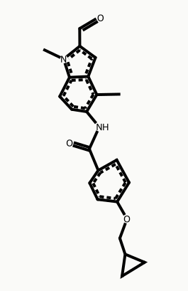 Cc1c(NC(=O)c2ccc(OCC3CC3)cc2)ccc2c1cc(C=O)n2C